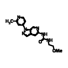 COCCNC(=O)Nc1cc2cnn(-c3ccnc(C)c3)c2cn1